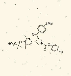 CSc1ccc(C(=O)C2CN(C(=O)Oc3ccc(F)cc3)CC2c2cc(C)c(OC(C)(C)C(=O)O)c(C)c2)cc1